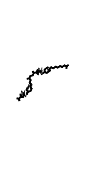 CC(C)CCCCCCCN1CCC(Cn2cc(C(C)CCC(C)CCCN3CCC(Cn4cc(C(C)C)cn4)CC3)cn2)CC1